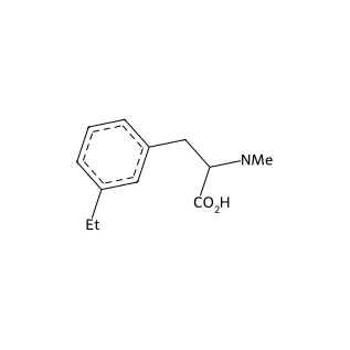 CCc1cccc(CC(NC)C(=O)O)c1